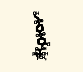 CC(O)(C(=O)Nc1ccc(S(=O)(=O)c2ccc(S(=O)(=O)CCO)cc2)cc1Cl)C(F)(F)F